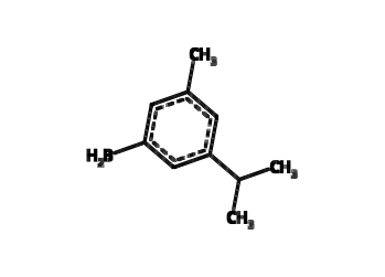 Bc1cc(C)cc(C(C)C)c1